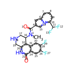 CN(C(=O)c1cc2cccc(C(F)F)n2c1)C1CNCc2[nH]c(=O)c3cc(F)c(F)cc3c21